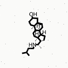 CC(C)CCN[C@@H](C)[C@H]1CC[C@H]2[C@@H]3CC=C4CC(O)CC[C@]4(C)[C@H]3CC[C@]12C